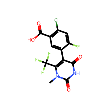 Cn1c(C(F)(F)F)c(-c2cc(C(=O)O)c(Cl)cc2F)c(=O)[nH]c1=O